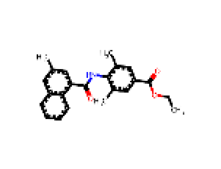 CCOC(=O)c1cc(C)c(NC(=O)c2cc(C)cc3ccccc23)c(C)c1